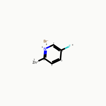 Fc1cc[c]([Zn+])nc1.[Br-]